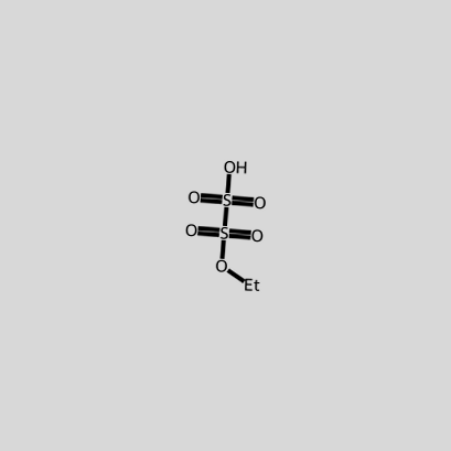 CCOS(=O)(=O)S(=O)(=O)O